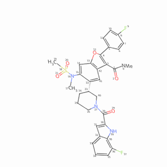 CNC(=O)c1c(-c2ccc(F)cc2)oc2cc(N(C)S(C)(=O)=O)c([C@H]3CCCN(C(=O)c4cc5cccc(F)c5[nH]4)C3)cc12